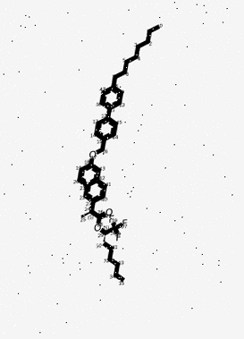 CCCCCCCCc1ccc(-c2ccc(COc3ccc4cc([C@H](C)C(=O)O[C@@H](CCCCCC)C(F)(F)F)ccc4c3)cc2)cc1